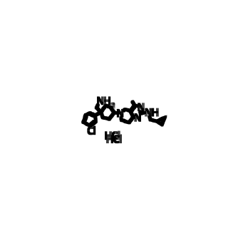 Cc1nc(NCC2CC2)nc2c1CN(C1CCC(CN)(c3cccc(Cl)c3)CC1)CC2.Cl.Cl